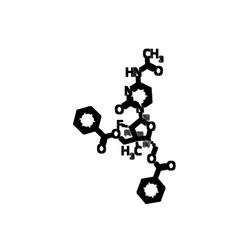 CC(=O)Nc1ccn([C@H]2O[C@H](COC(=O)c3ccccc3)[C@@](C)(COC(=O)c3ccccc3)[C@@H]2F)c(=O)n1